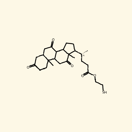 C[C@H](CCC(=O)OCCS)C1CCC2C3C(=O)CC4CC(=O)CCC4(C)C3CC(=O)C21C